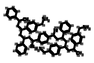 CCC(CC(CC(CC(C)c1ccccc1)c1ccc(CN)cc1)c1ccccc1)c1ccc(C(CC)CC(CC(CC(C)c2ccc(CN)cc2)c2ccc(CN)cc2)c2ccccc2)cc1